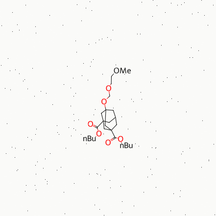 CCCCOC(=O)C12CC3CC(OCOCCOC)(C1)CC(C(=O)OCCCC)(C3)C2